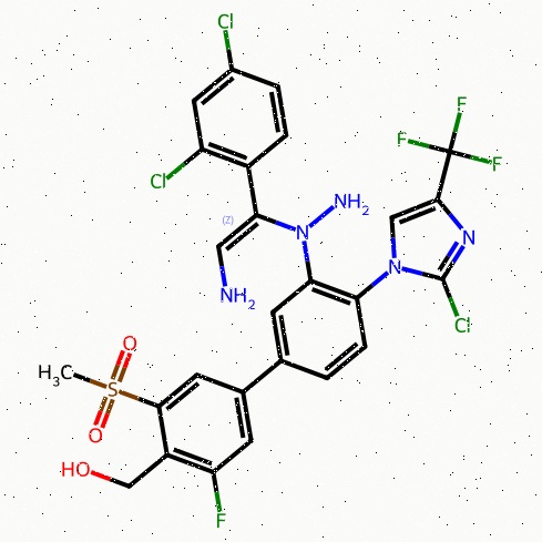 CS(=O)(=O)c1cc(-c2ccc(-n3cc(C(F)(F)F)nc3Cl)c(N(N)/C(=C\N)c3ccc(Cl)cc3Cl)c2)cc(F)c1CO